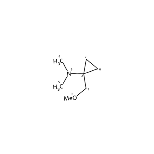 COCC1(N(C)C)CC1